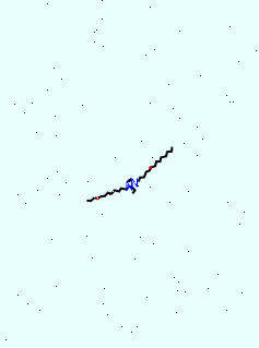 CCCCCCCCCCCCCCN1C=CN(CCCCCCCCCCCC)C1CC